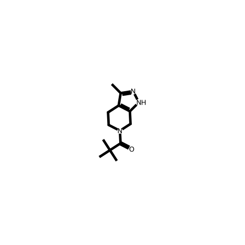 Cc1n[nH]c2c1CCN(C(=O)C(C)(C)C)C2